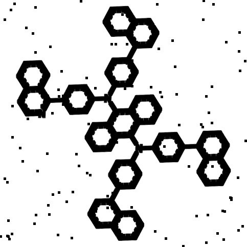 c1ccc2c(-c3ccc(N(c4ccc(-c5cccc6ccccc56)cc4)c4c5ccccc5c(N(c5ccc(-c6cccc7ccccc67)cc5)c5ccc(-c6nccc7ccccc67)cc5)c5ccccc45)cc3)cccc2c1